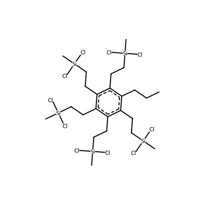 CCCc1c(CC[Si](C)(Cl)Cl)c(CC[Si](C)(Cl)Cl)c(CC[Si](C)(Cl)Cl)c(CC[Si](C)(Cl)Cl)c1CC[Si](C)(Cl)Cl